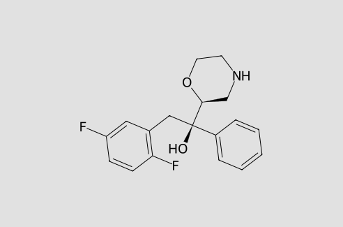 O[C@](Cc1cc(F)ccc1F)(c1ccccc1)[C@@H]1CNCCO1